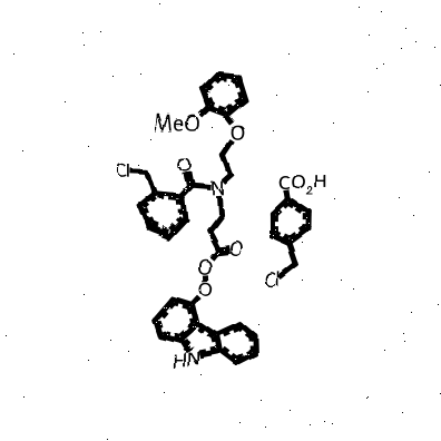 COc1ccccc1OCCN(CCC(=O)OOc1cccc2[nH]c3ccccc3c12)C(=O)c1ccccc1CCl.O=C(O)c1ccc(CCl)cc1